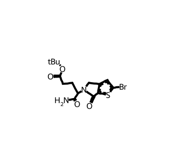 CC(C)(C)OC(=O)CCC(C(N)=O)N1Cc2cc(Br)sc2C1=O